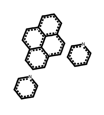 c1cc2ccc3cccc4ccc(c1)c2c34.c1ccncc1.c1ccncc1